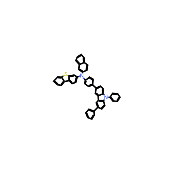 c1ccc(-c2ccc3c(c2)c2cc(-c4ccc(N(c5ccc6ccccc6c5)c5ccc6c(c5)sc5ccccc56)cc4)ccc2n3-c2ccccc2)cc1